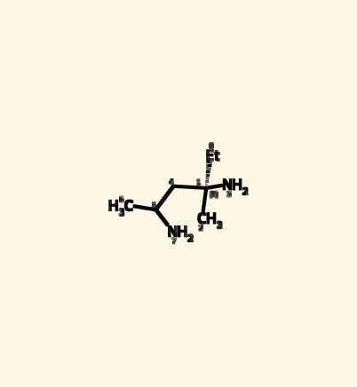 CC[C@@](C)(N)CC(C)N